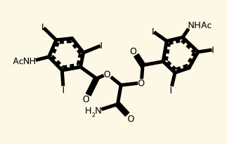 CC(=O)Nc1c(I)cc(I)c(C(=O)OC(OC(=O)c2c(I)cc(I)c(NC(C)=O)c2I)C(N)=O)c1I